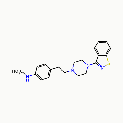 O=C(O)Nc1ccc(CCN2CCN(c3nsc4ccccc34)CC2)cc1